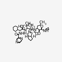 CCCC(NC(=O)[C@@H]1[C@H]2CCC[C@H]2CN1C(=O)[C@@H](NC(=O)[C@H](NC(=O)c1cnccn1)C1CCCCC1)C(C)(C)C)C(=O)C(=O)NC1CC1